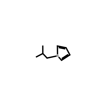 CC(C)[CH]n1cccc1